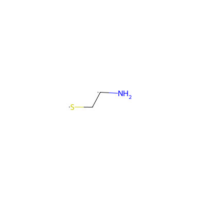 N[CH]C[S]